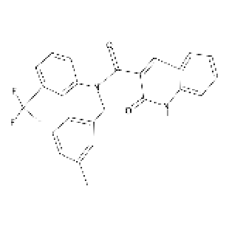 Cc1cccc(CN(C(=O)c2cc3ccccc3[nH]c2=O)c2cccc(C(F)(F)F)c2)c1